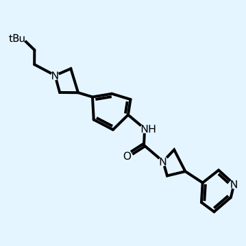 CC(C)(C)CCN1CC(c2ccc(NC(=O)N3CC(c4cccnc4)C3)cc2)C1